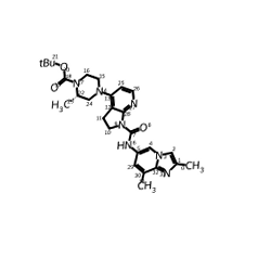 Cc1cn2cc(NC(=O)N3CCc4c(N5CCN(C(=O)OC(C)(C)C)[C@@H](C)C5)ccnc43)cc(C)c2n1